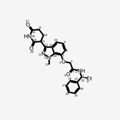 CC[C@H](NC(=O)COc1cccc2c(C3CCC(=O)NC3=O)nn(C)c12)c1ccccc1